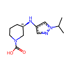 CC(C)n1cc(N[C@@H]2CCCN(C(=O)O)C2)cn1